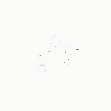 C[C@@H]1CN(c2ccnn3cc(-c4ccc5c(cnn5C)c4)cc23)C(=O)[C@]1(C#N)C1CC1